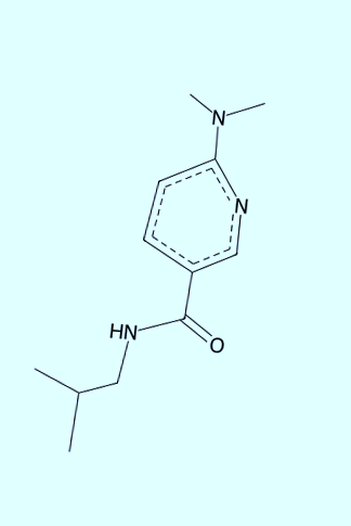 CC(C)CNC(=O)c1ccc(N(C)C)nc1